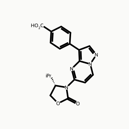 CC(C)[C@H]1COC(=O)N1c1ccn2ncc(-c3ccc(C(=O)O)cc3)c2n1